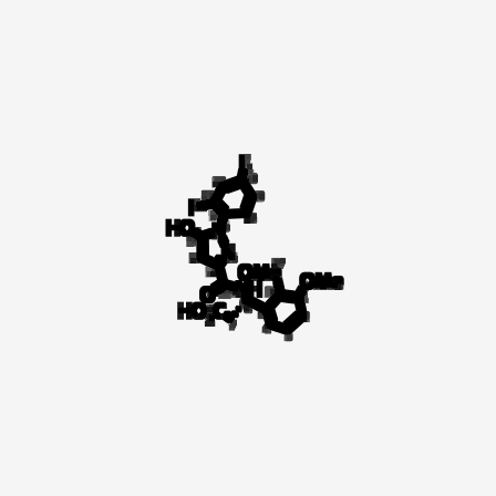 COc1cccc([C@H](CC(=O)O)NC(=O)c2cc(O)n(-c3ccc(F)cc3F)n2)c1OC